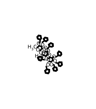 CC1O[C@@H](OC2[C@H](C)OC(C)[C@H](OCc3ccccc3)[C@@H]2OCc2ccccc2)C(OC(=O)c2ccccc2)[C@@H](O[C@H]2O[C@@H](COCc3ccccc3)[C@@H](OCc3ccccc3)C(OCc3ccccc3)C2OCc2ccccc2)[C@H]1OCc1ccccc1